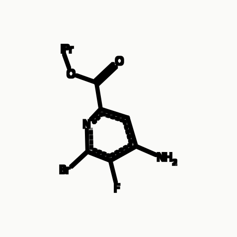 CC(C)OC(=O)c1cc(N)c(F)c(Br)n1